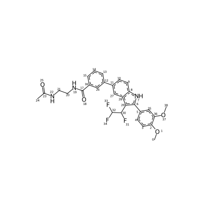 COc1ccc(-c2[nH]c3ccc(-c4cccc(C(=O)NCCNC(C)=O)c4)cc3c2C(F)C(F)F)cc1OC